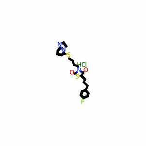 Cl.O=C1SC(=CCCc2ccc(F)cc2)C(=O)N1CCCCSc1cccc2nccn12